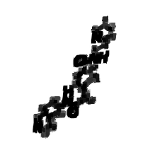 O=C(NCCc1ccccn1)c1ccc(C2C[C@H]2C(=O)Nc2ccc3cnccc3c2)cc1